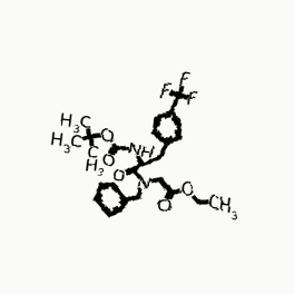 CCOC(=O)CN(Cc1ccccc1)C(=O)C(Cc1ccc(C(F)(F)F)cc1)NC(=O)OC(C)(C)C